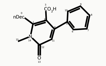 CCCCCCCCCCc1c(C(=O)O)c(-c2ccccc2)cc(=O)n1C